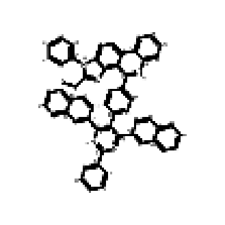 CCc1nc2c3c(-c4ccc(-c5c(-c6ccc7ccccc7c6)nc(-c6ccccc6)nc5-c5ccc6ccccc6c5)cc4)nc4ccccc4c3ccc2n1-c1ccccc1